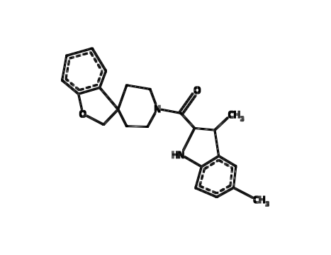 Cc1ccc2c(c1)C(C)C(C(=O)N1CCC3(CC1)COc1ccccc13)N2